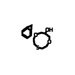 OC1COCCSCCOC1.c1ccc2c(c1)C2